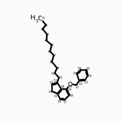 CCCCCCCCCCCCC1=CCc2cccc(OCc3ccccc3)c21